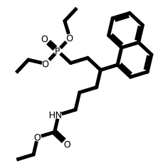 CCOC(=O)NCCCC(CCP(=O)(OCC)OCC)c1cccc2ccccc12